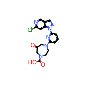 O=C1CN(C(=O)O)CCN(c2cccc(-n3ncc4cnc(Cl)cc43)n2)C1